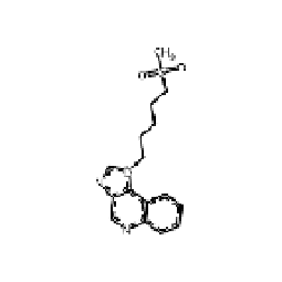 CS(=O)(=O)CCCCCn1cnc2cnc3ccccc3c21